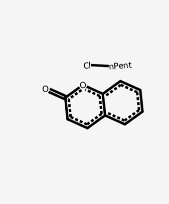 CCCCCCl.O=c1ccc2ccccc2o1